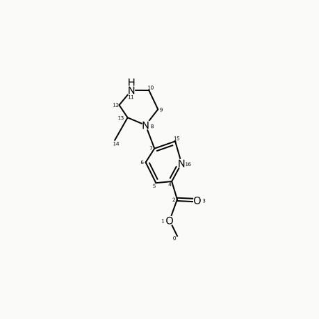 COC(=O)c1ccc(N2CCNCC2C)cn1